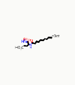 CCCCCCCCC=CCCCCCCCC(=O)NC(CCC(=O)O)C(=O)NO